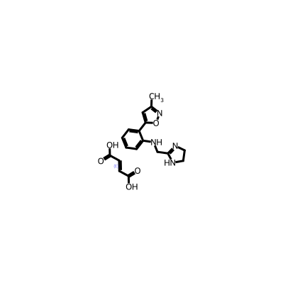 Cc1cc(-c2ccccc2NCC2=NCCN2)on1.O=C(O)/C=C/C(=O)O